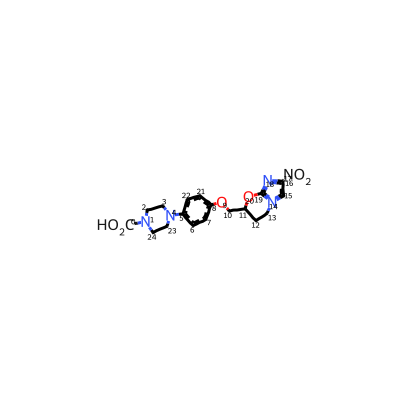 O=C(O)N1CCN(c2ccc(OCC3CCn4cc([N+](=O)[O-])nc4O3)cc2)CC1